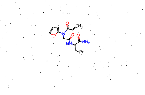 C=CC(=O)N(CC(=O)NC(CC(C)C)C(N)=O)c1ccco1